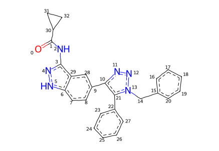 O=C(Nc1n[nH]c2ccc(-c3nnn(Cc4ccccc4)c3-c3ccccc3)cc12)C1CC1